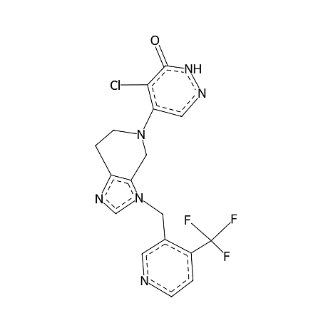 O=c1[nH]ncc(N2CCc3ncn(Cc4cnccc4C(F)(F)F)c3C2)c1Cl